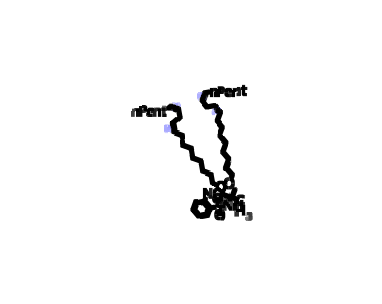 CCCCC/C=C\C/C=C\CCCCCCCCOCC(C)(COCCCCCCCC/C=C\C/C=C\CCCCC)NS(=O)(=O)c1ccccc1[N+](=O)[O-]